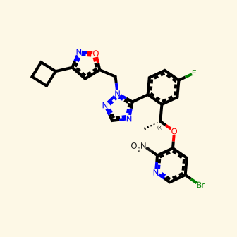 C[C@@H](Oc1cc(Br)cnc1[N+](=O)[O-])c1cc(F)ccc1-c1ncnn1Cc1cc(C2CCC2)no1